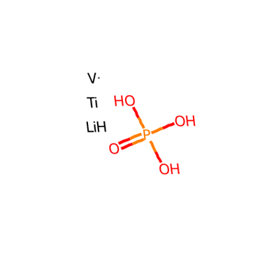 O=P(O)(O)O.[LiH].[Ti].[V]